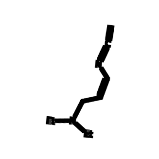 C=C=N/C=C\CN(CC)CC